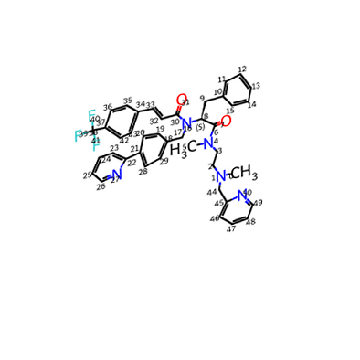 CN(CCN(C)C(=O)[C@H](Cc1ccccc1)N(Cc1ccc(-c2ccccn2)cc1)C(=O)C=Cc1ccc(C(F)(F)F)cc1)Cc1ccccn1